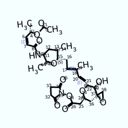 CC(=O)O[C@@H](C)/C=C\C(=O)N[C@@H]1C[C@H](C)[C@H](C/C=C(C)/C=C/[C@H]2O[C@H](CC(=O)ON3C(=O)CCC3=O)C[C@@]3(CO3)[C@@H]2O)O[C@@H]1C